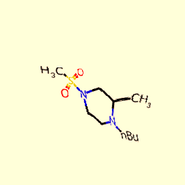 CCCCN1CCN(S(C)(=O)=O)CC1C